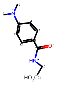 CN(C)c1ccc(C(=O)NCC(=O)O)cc1